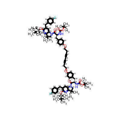 CC(C)(C)OC(=O)N[C@@H](Cc1ccc(OCCC#CC#CCCOc2ccc(C[C@H](NC(=O)OC(C)(C)C)C(=O)N3CC(C)(C)c4nc(O[Si](C)(C)C(C)(C)C)c(Cc5ccc(F)cc5)cc43)cc2)cc1)C(=O)N1CC(C)(C)c2nc(O[Si](C)(C)C(C)(C)C)c(Cc3ccc(F)cc3)cc21